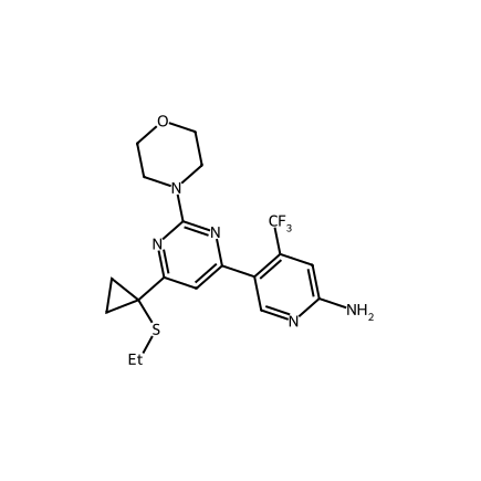 CCSC1(c2cc(-c3cnc(N)cc3C(F)(F)F)nc(N3CCOCC3)n2)CC1